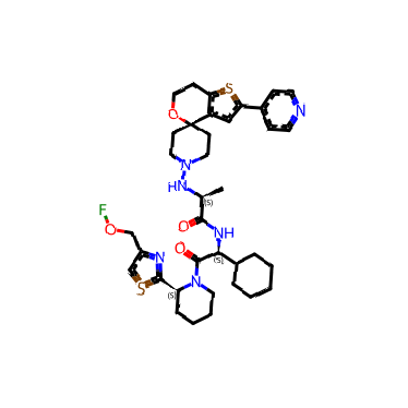 C[C@H](NN1CCC2(CC1)OCCc1sc(-c3ccncc3)cc12)C(=O)N[C@H](C(=O)N1CCCC[C@H]1c1nc(COF)cs1)C1CCCCC1